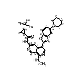 CNc1ncc(-c2nc3cc(N4CCOCC4)ccc3o2)c2cc(NC(=O)C3C[C@@H]3C(F)(F)F)ncc12